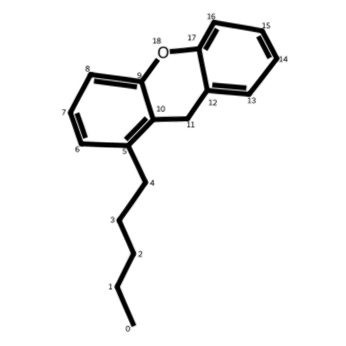 CCCCCc1cccc2c1Cc1ccccc1O2